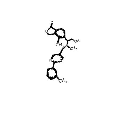 Cc1cccc(-c2ncc(CN(C)C(CO)c3ccc4c(c3C)COC4=O)cn2)c1